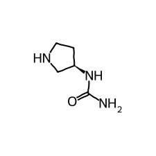 NC(=O)N[C@@H]1CCNC1